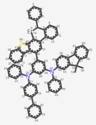 CCC(c1ccccc1)c1ccccc1-c1cc(-c2cc(N(c3ccccc3)c3ccc(-c4ccccc4)cc3)cc(N(c3ccccc3)c3ccc4c(c3)C(C)(C)c3ccccc3-4)c2)c2c(sc3ccccc32)c1C